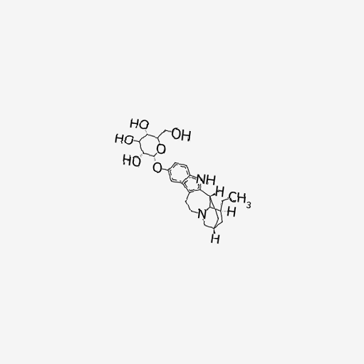 CC[C@H]1C[C@H]2C[C@H]3c4[nH]c5ccc(O[C@H]6OC(CO)[C@@H](O)C(O)[C@H]6O)cc5c4CCN(C2)C13